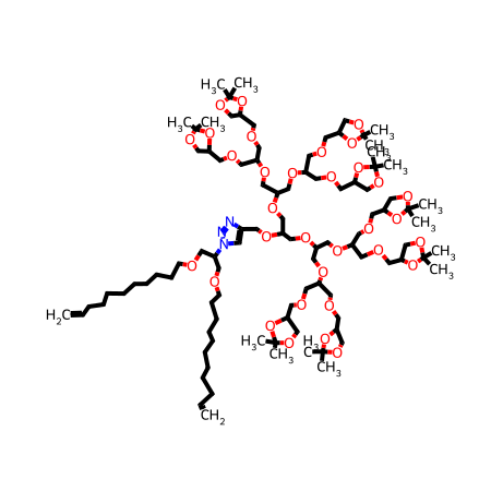 C=CCCCCCCCCCOCC(COCCCCCCCCCC=C)n1cc(COC(COC(COC(COCC2COC(C)(C)O2)COCC2COC(C)(C)O2)COC(COCC2COC(C)(C)O2)COCC2COC(C)(C)O2)COC(COC(COCC2COC(C)(C)O2)COCC2COC(C)(C)O2)COC(COCC2COC(C)(C)O2)COCC2COC(C)(C)O2)nn1